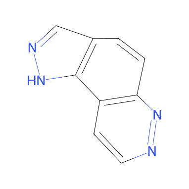 c1cc2c(ccc3cn[nH]c32)nn1